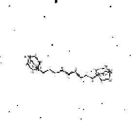 C(CCCC[N+]12CCN(CC1)CC2)CCCC[N+]12CCN(CC1)CC2